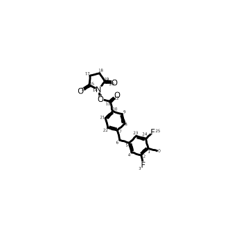 Cc1c(F)cc(Cc2ccc(C(=O)ON3C(=O)CCC3=O)cc2)cc1F